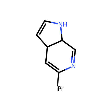 CC(C)C1=CC2C=CNC2C=N1